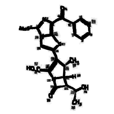 CSc1nc(C(=O)c2cccnc2)c2sc(C3=C(C(=O)O)N4C(=O)[C@H]([C@@H](C)O)[C@H]4[C@H]3C)cn12